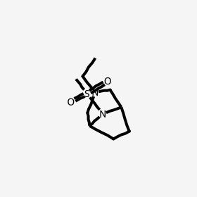 CCN1CC2CCC(C1)N2S(C)(=O)=O